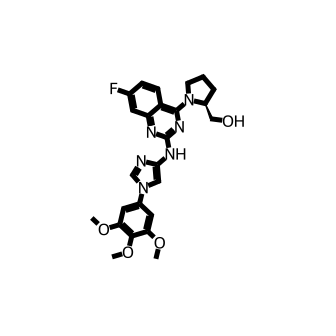 COc1cc(-n2cnc(Nc3nc(N4CCC[C@H]4CO)c4ccc(F)cc4n3)c2)cc(OC)c1OC